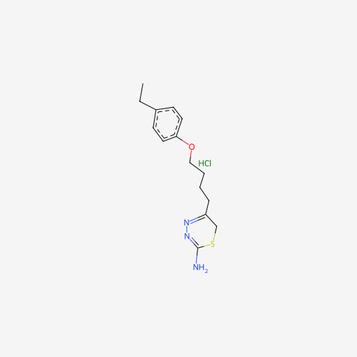 CCc1ccc(OCCCCC2=NN=C(N)SC2)cc1.Cl